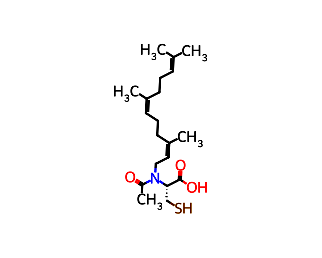 CC(=O)N(CC=C(C)CCC=C(C)CCC=C(C)C)[C@@H](CS)C(=O)O